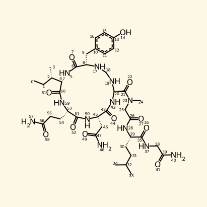 CC[C@H](C)[C@@H]1NC(=O)[C@H](Cc2ccc(O)cc2)NCN[C@@H](C(=O)N(C)CC(=O)N[C@@H](CCC(C)C)C(=O)NCC(N)=O)NC(=O)[C@H](CC(N)=O)NC(=O)[C@H](CCC(N)=O)NC1=O